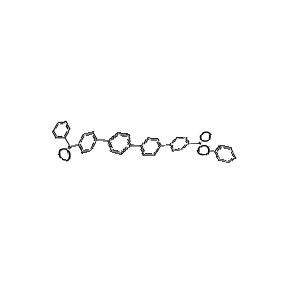 O=C(Oc1ccccc1)c1ccc(-c2ccc(-c3ccc(-c4ccc(C(=O)c5ccccc5)cc4)cc3)cc2)cc1